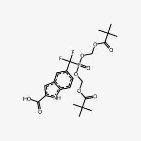 CC(C)(C)C(=O)OCOP(=O)(OCOC(=O)C(C)(C)C)C(F)(F)c1ccc2[nH]c(C(=O)O)cc2c1